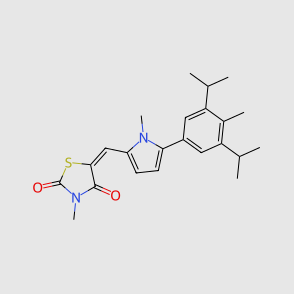 Cc1c(C(C)C)cc(-c2ccc(/C=C3/SC(=O)N(C)C3=O)n2C)cc1C(C)C